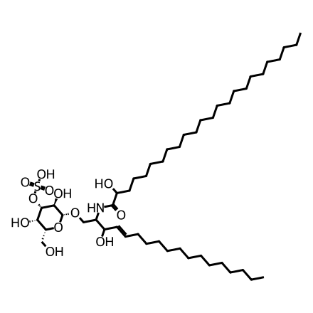 CCCCCCCCCCCCC/C=C/C(O)C(CO[C@@H]1O[C@H](CO)[C@H](O)[C@H](OS(=O)(=O)O)[C@H]1O)NC(=O)C(O)CCCCCCCCCCCCCCCCCCCCCC